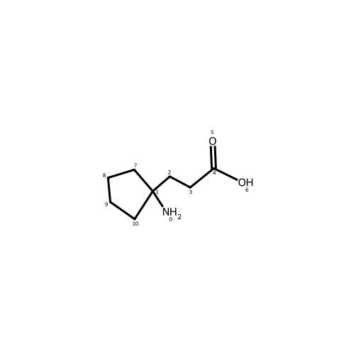 NC1(CCC(=O)O)CCCC1